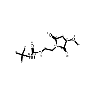 CO[C@@H]1CC(=O)N(CCOC(=O)NC(C)(C)C)C1=O